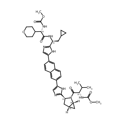 COC(=O)N[C@H](C(=O)N1[C@@H]2C[C@@H]2C[C@H]1c1ncc(-c2ccc3cc(-c4cnc([C@H](CC5CC5)NC(=O)[C@@H](NC(=O)OC)C5CCOCC5)[nH]4)ccc3c2)[nH]1)C(C)C